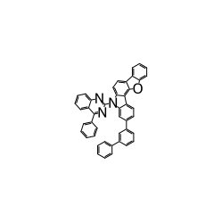 c1ccc(-c2cccc(-c3ccc4c5c6oc7ccccc7c6ccc5n(-c5nc(-c6ccccc6)c6ccccc6n5)c4c3)c2)cc1